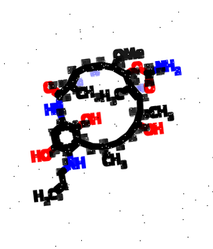 C=CCNc1c(O)cc2c(O)c1C[C@@H](C)CCC(O)[C@@H](C)/C=C(\C)C(OC(N)=O)C(OC)/C=C\C=C(/C)C(=O)N2